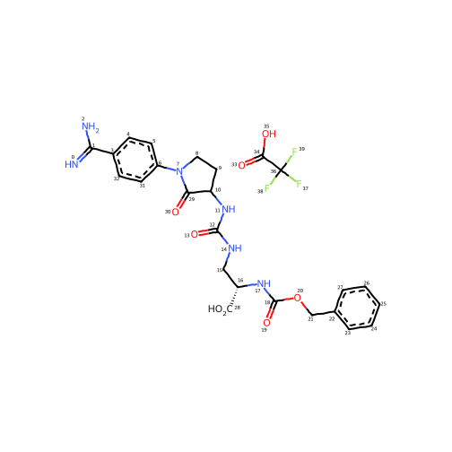 N=C(N)c1ccc(N2CCC(NC(=O)NC[C@H](NC(=O)OCc3ccccc3)C(=O)O)C2=O)cc1.O=C(O)C(F)(F)F